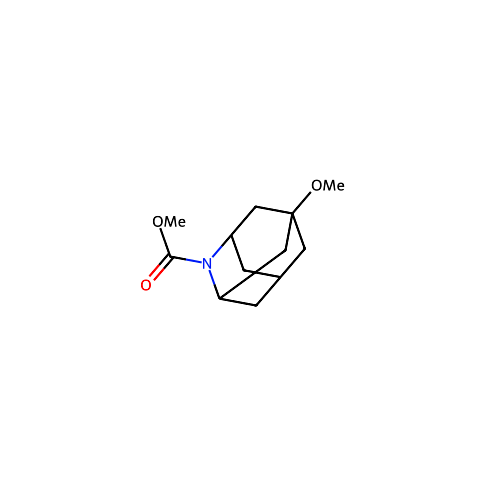 COC(=O)N1C2CC3CC1CC(OC)(C3)C2